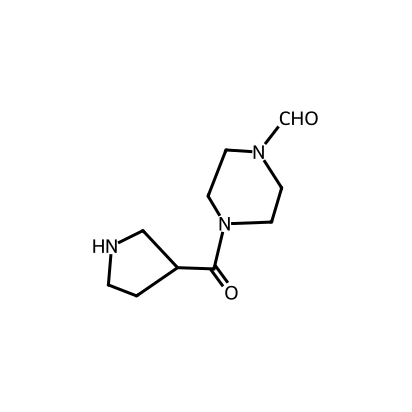 O=CN1CCN(C(=O)C2CCNC2)CC1